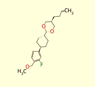 C=CCC[C@H]1CO[C@H]([C@H]2CC[C@H](c3ccc(COC)c(F)c3)CC2)OC1